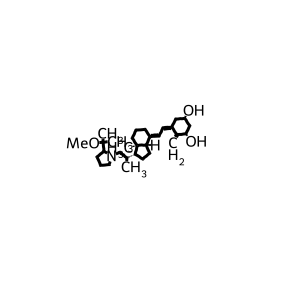 C=C1C(=CC=C2CCC[C@]3(C)[C@@H](C(C)CN4CCCC4C(C)(C)OC)CC[C@@H]23)C[C@@H](O)C[C@@H]1O